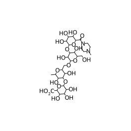 CC1OC(COC2OC(CO)C(O)C(OC3OC(C(=O)N4CCN(C)CC4)C(O)C(O)C3O)C2O)C(O)C(OC2OC(C(=O)O)C(O)C(O)C2O)C1O